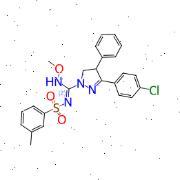 CON/C(=N\S(=O)(=O)c1cccc(C)c1)N1CC(c2ccccc2)C(c2ccc(Cl)cc2)=N1